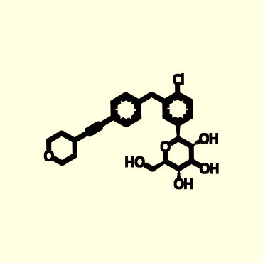 OC[C@H]1O[C@@H](c2ccc(Cl)c(Cc3ccc(C#CC4CCOCC4)cc3)c2)[C@H](O)C(O)[C@@H]1O